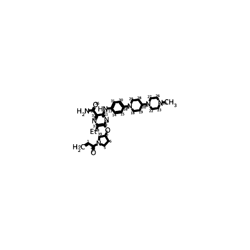 C=CC(=O)N1CCC(Oc2nc(Nc3ccc(N4CCC(N5CCN(C)CC5)CC4)cc3)c(C(N)=O)nc2CC)C1